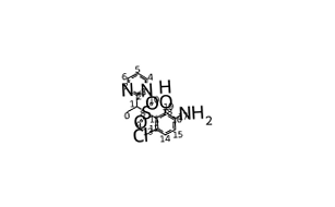 CC(c1ncccn1)S(=O)(=O)c1c(Cl)ccc(N)c1O